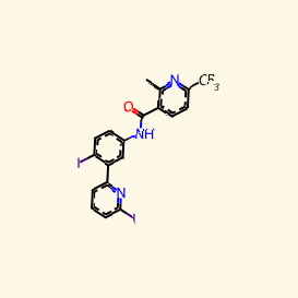 Cc1nc(C(F)(F)F)ccc1C(=O)Nc1ccc(I)c(-c2cccc(I)n2)c1